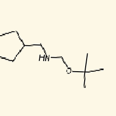 CC(C)(C)OCNCC1CCCC1